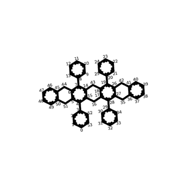 c1ccc(-c2c3c(c(-c4ccccc4)c4c2Cc2c(c(-c5ccccc5)c5c(c2-c2ccccc2)Cc2ccccc2C5)C4)Cc2ccccc2C3)cc1